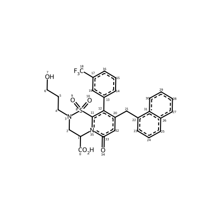 O=C(O)C1CN(CCCO)S(=O)(=O)c2c(-c3cccc(C(F)(F)F)c3)c(Cc3cccc4ccccc34)cc(=O)n21